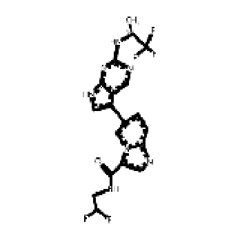 C[C@H](Nc1ncc2c(-c3ccc4ncc(C(=O)NCC(F)F)n4c3)c[nH]c2n1)C(F)(F)F